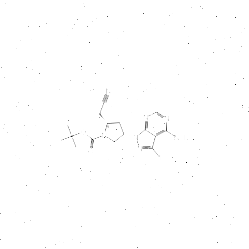 CC(C)(C)OC(=O)N1C[C@@H](n2nc(I)c3c(N)ncnc32)C[C@@H]1CC#N